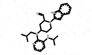 CC(C)CN(c1ncccc1NC(C)C)C1CCN(c2cc3ccccc3[nH]2)C(C=O)C1